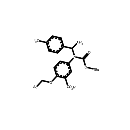 CC(=O)COc1ccc(N(C(=O)OC(C)(C)C)C(C)c2ccc(C(F)(F)F)cc2)cc1C(=O)O